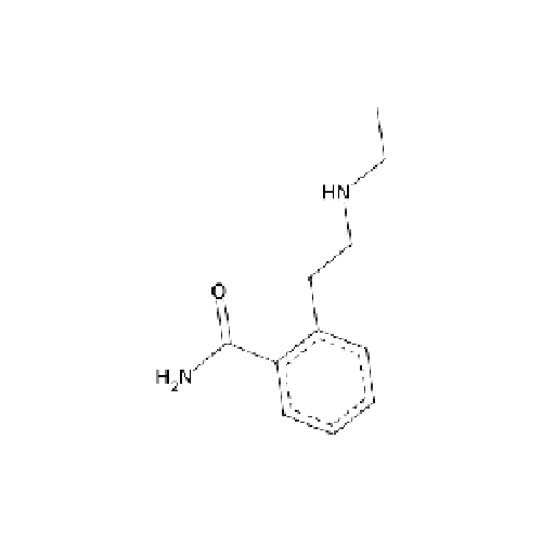 CCNCCc1ccccc1C(N)=O